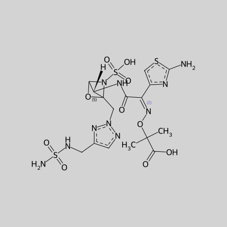 CC(C)(O/N=C(\C(=O)N[C@H]1C2OC1(Cn1ncc(CNS(N)(=O)=O)n1)N2S(=O)(=O)O)c1csc(N)n1)C(=O)O